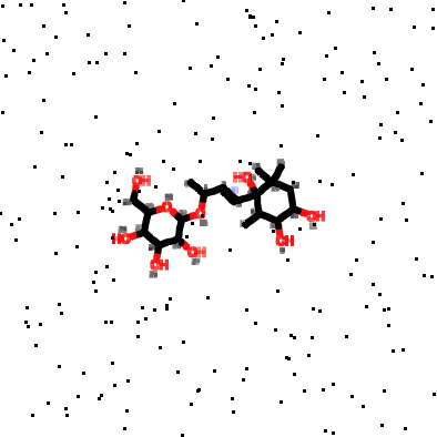 CC(/C=C/C1(O)C(C)C(O)C(O)CC1(C)C)OC1OC(CO)C(O)C(O)C1O